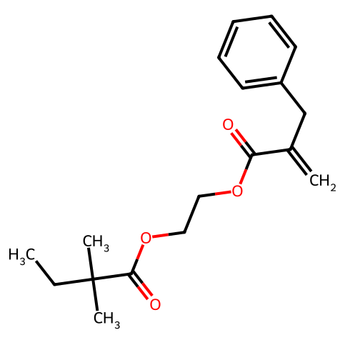 C=C(Cc1ccccc1)C(=O)OCCOC(=O)C(C)(C)CC